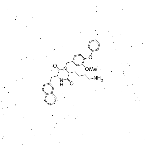 COc1cc(CN2C(=O)C(Cc3ccc4ccccc4c3)NC(=O)C2CCCCN)ccc1Oc1ccccc1